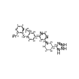 CC(C)c1ccccc1Sc1ccc(-c2cc(N3CCCC(C4=NNNN4)C3)ncn2)cc1C(F)(F)F